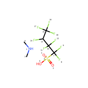 CNC.O=S(=O)(O)C(F)(F)C(F)(F)C(F)C(F)(F)F